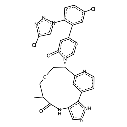 CC1CCC[C@H](n2cnc(-c3cc(Cl)ccc3-n3cc(Cl)nn3)cc2=O)c2cc(ccn2)-c2[nH]ncc2NC1=O